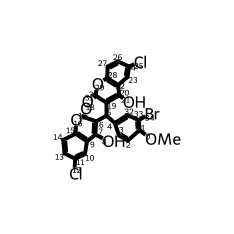 COc1ccc(C(c2c(O)c3cc(Cl)ccc3oc2=O)c2c(O)c3cc(Cl)ccc3oc2=O)cc1Br